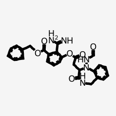 N=C(N)c1c(OC(=O)CC2C(=O)NCc3ccccc3N2NC=O)cccc1C(=O)OCc1ccccc1